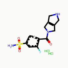 Cl.Cl.NS(=O)(=O)c1ccc(C(=O)N2CC3=C(CNC3)C2)c(F)c1